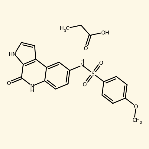 CCC(=O)O.COc1ccc(S(=O)(=O)Nc2ccc3[nH]c(=O)c4[nH]ccc4c3c2)cc1